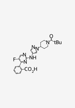 CC(C)(C)C(=O)N1CCC(n2cc(Nc3ncc(F)c(-c4ccccc4C(=O)O)n3)cn2)CC1